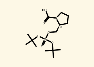 CC(C)(C)OP(=O)(OC[C@@H]1CCCN1C(=O)O)OC(C)(C)C